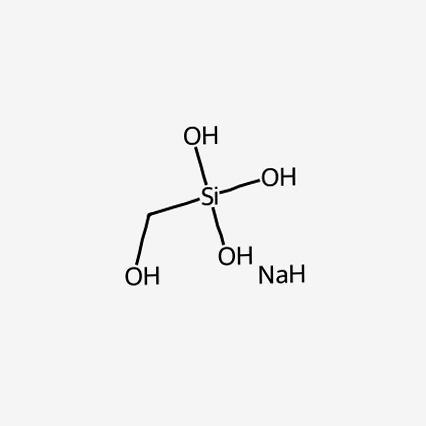 OC[Si](O)(O)O.[NaH]